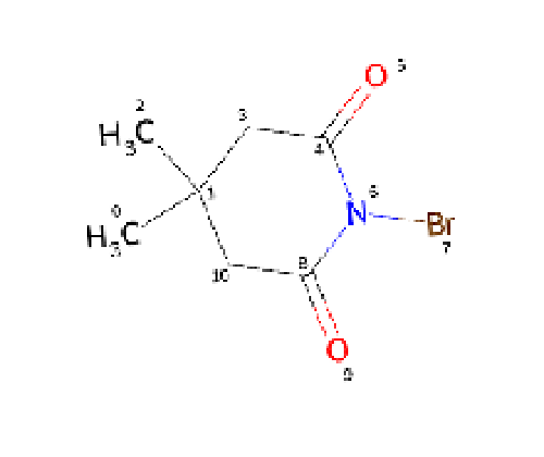 CC1(C)CC(=O)N(Br)C(=O)C1